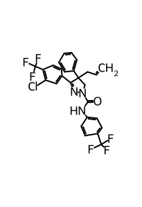 C=CCC1(c2ccccc2)CN(C(=O)Nc2ccc(C(F)(F)F)cc2)N=C1c1ccc(C(F)(F)F)c(Cl)c1